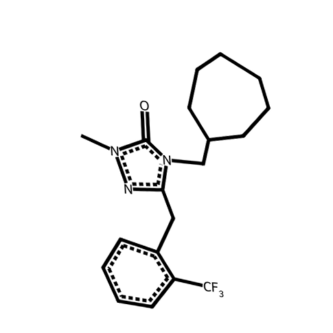 Cn1nc(Cc2ccccc2C(F)(F)F)n(CC2CCCCCC2)c1=O